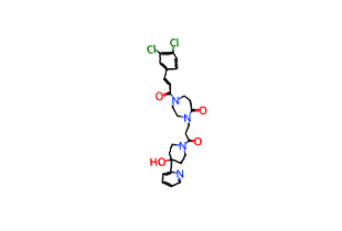 O=C(/C=C/c1ccc(Cl)c(Cl)c1)N1CCC(=O)N(CCC(=O)N2CCC(O)(c3ccccn3)CC2)CC1